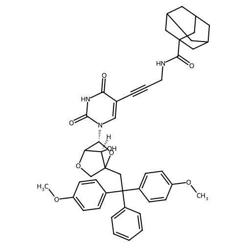 COc1ccc(C(CC23COC([C@H](n4cc(C#CCNC(=O)C56CC7CC(CC(C7)C5)C6)c(=O)[nH]c4=O)O2)[C@H]3O)(c2ccccc2)c2ccc(OC)cc2)cc1